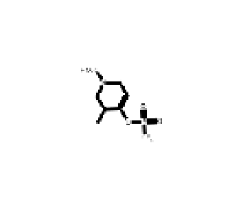 CC1CN(C(=O)O)CC=C1OS(=O)(=O)C(F)(F)F